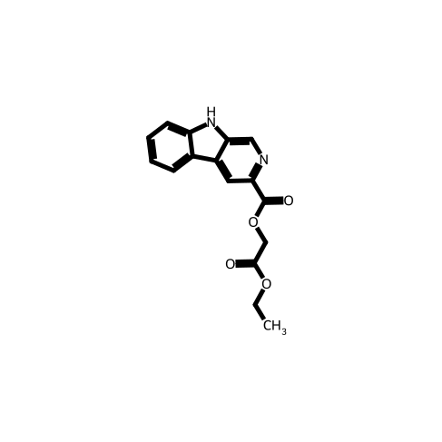 CCOC(=O)COC(=O)c1cc2c(cn1)[nH]c1ccccc12